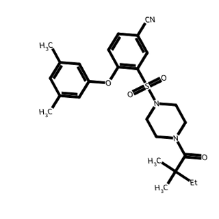 CCC(C)(C)C(=O)N1CCN(S(=O)(=O)c2cc(C#N)ccc2Oc2cc(C)cc(C)c2)CC1